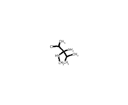 CNC([SiH3])(C(C)C)C(C)Cl